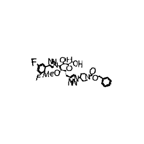 CO[C@@H]1[C@@H](n2cc(-c3cc(F)cc(F)c3)nn2)[C@@H](O)[C@@H](CO)O[C@@H]1Cc1cn(C2CCN(C(=O)OCc3ccccc3)CC2)nn1